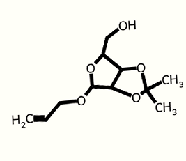 C=CCOC1OC(CO)C2OC(C)(C)OC12